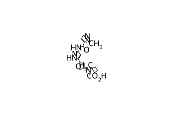 Cn1nccc1C(=O)Nc1cc([C@H]2C[C@@H](N(C(=O)O)C3(C)CCC3)CO2)[nH]n1